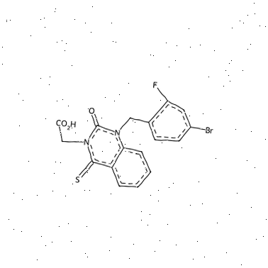 O=C(O)Cn1c(=S)c2ccccc2n(Cc2ccc(Br)cc2F)c1=O